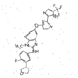 Cn1c(Nc2ccc(F)c(C3CCOC3)c2)nc2cc(Oc3ccnc(-c4ncc(C(F)(F)F)[nH]4)c3)ccc21